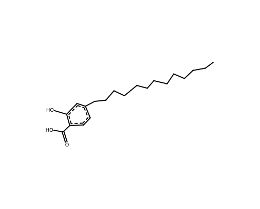 CCCCCCCCCCCCCc1ccc(C(=O)O)c(O)c1